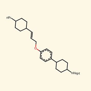 CCCCCCCC1CCC(c2ccc(OCC=CC3CCC(CCC)CC3)cc2)CC1